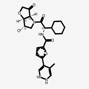 CC1=CNNC=C1c1ccc(C(=O)N[C@H](C(=O)N2C[C@H](Cl)[C@H]3OCC(=O)[C@H]32)C2CCCCC2)s1